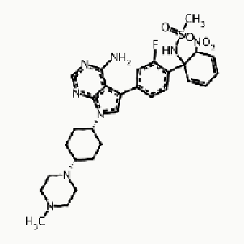 CN1CCN([C@H]2CC[C@@H](n3cc(-c4ccc(C5(NS(C)(=O)=O)C=CC=CC5[N+](=O)[O-])c(F)c4)c4c(N)ncnc43)CC2)CC1